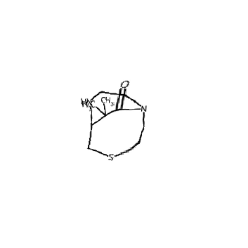 CC1(C)C(=O)N2CCNC1CSCC2